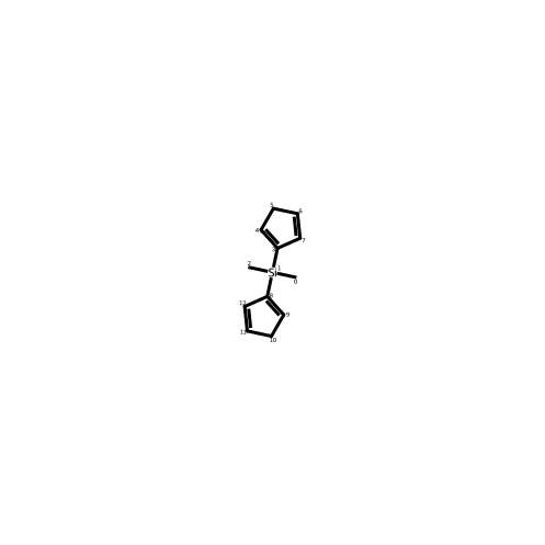 C[Si](C)(C1=[C]CC=C1)C1=[C]CC=C1